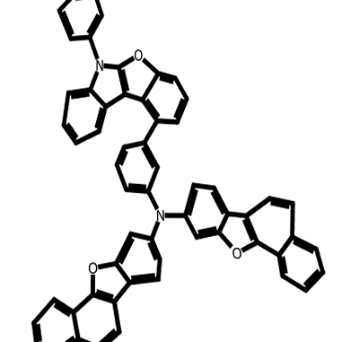 c1ccc(-n2c3ccccc3c3c4c(-c5cccc(N(c6ccc7c(c6)oc6c8ccccc8ccc76)c6ccc7c(c6)oc6c8ccccc8ccc76)c5)cccc4oc32)cc1